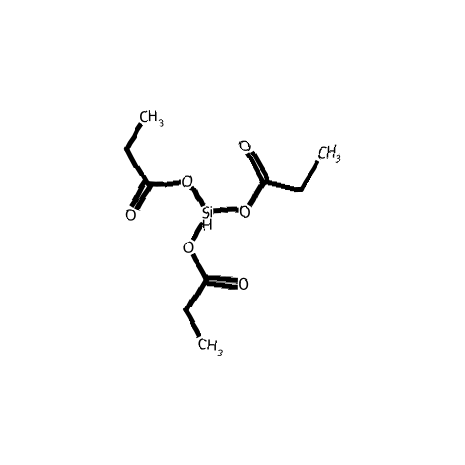 CCC(=O)O[SiH](OC(=O)CC)OC(=O)CC